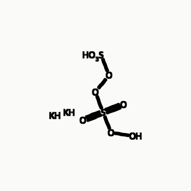 O=S(=O)(O)OOS(=O)(=O)OO.[KH].[KH]